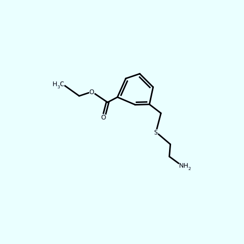 CCOC(=O)c1cccc(CSCCN)c1